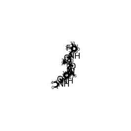 CCC(CC)NC(=O)Nc1ccc2c(c1)c(C)nn2CC(=O)N(CC(=O)NCc1cccc(C)c1F)C1CC1